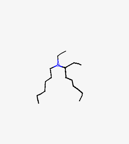 CCCCCCN(CC)C(CC)CCCCC